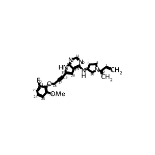 C=CC(=C)N1CC[C@@H](Nc2ncnc3[nH]c(C#CCOc4c(F)cccc4OC)cc23)C1